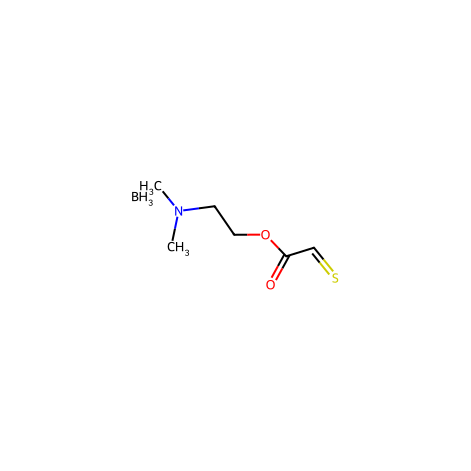 B.CN(C)CCOC(=O)C=S